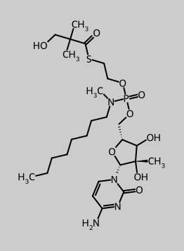 CCCCCCCCN(C)P(=O)(OCCSC(=O)C(C)(C)CO)OC[C@H]1O[C@@H](n2ccc(N)nc2=O)[C@@](C)(O)C1O